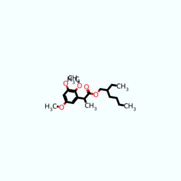 CCCCC(CC)COC(=O)C(C)c1cc(OC)cc(OC)c1OC